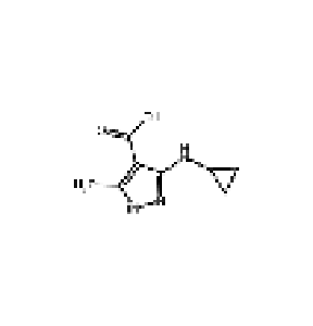 Cc1[nH]nc(NC2CC2)c1C(=O)O